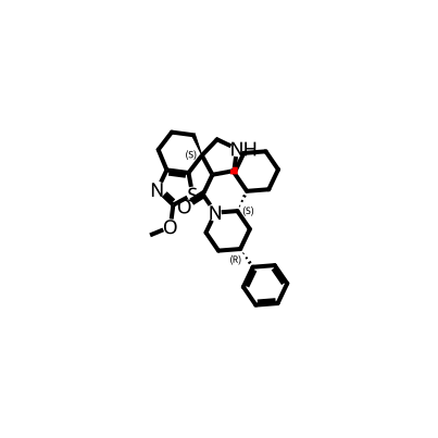 COc1nc2c(s1)[C@]1(CCC2)CNCC1C(=O)N1CC[C@@H](c2ccccc2)C[C@H]1C1CCCCC1